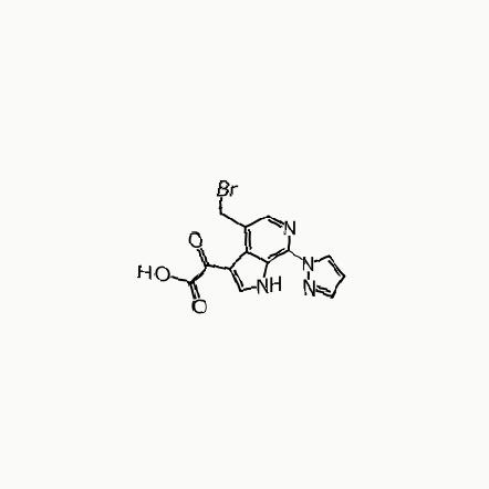 O=C(O)C(=O)c1c[nH]c2c(-n3cccn3)ncc(CBr)c12